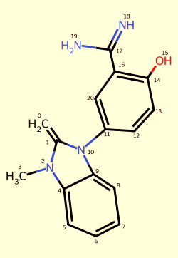 C=C1N(C)c2ccccc2N1c1ccc(O)c(C(=N)N)c1